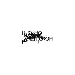 CCc1nc2sc(N3CCN(CC(=O)N4CC(O)C4)[C@H](CO)C3)nn2c1N(C)c1nc(-c2ccc(F)cc2)c(C#N)s1